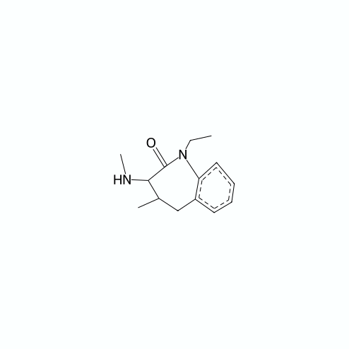 CCN1C(=O)C(NC)C(C)Cc2ccccc21